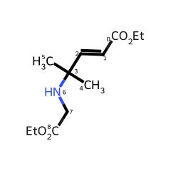 CCOC(=O)/C=C/C(C)(C)NCC(=O)OCC